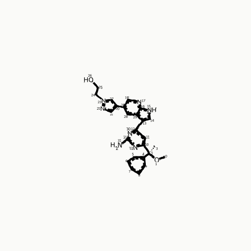 CO[C@@](C)(c1ccccc1)c1cc(-c2c[nH]c3ncc(-c4cnn(CCO)c4)cc23)nc(N)n1